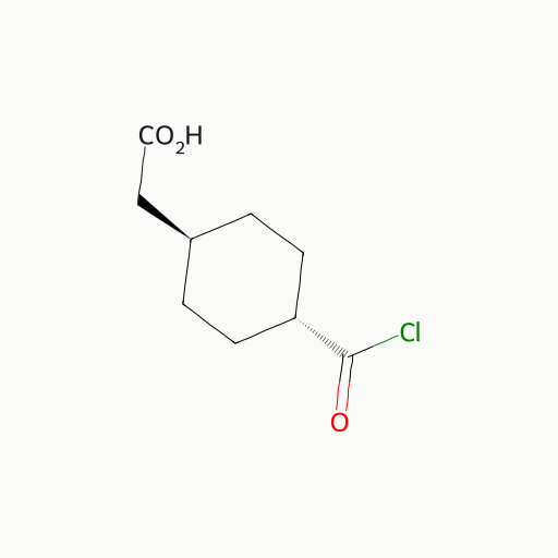 O=C(O)C[C@H]1CC[C@H](C(=O)Cl)CC1